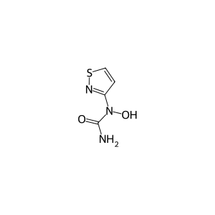 NC(=O)N(O)c1ccsn1